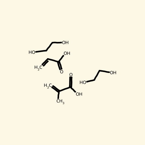 C=C(C)C(=O)O.C=CC(=O)O.OCCO.OCCO